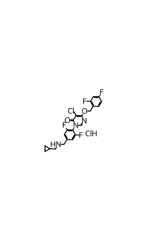 Cl.O=c1c(Cl)c(OCc2ccc(F)cc2F)ncn1-c1c(F)cc(CNCC2CC2)cc1F